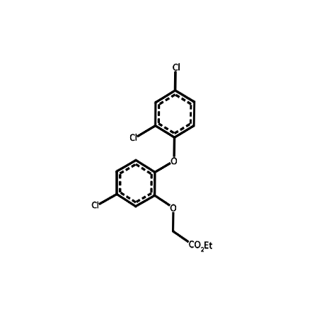 CCOC(=O)COc1cc(Cl)ccc1Oc1ccc(Cl)cc1Cl